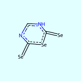 [Se]=c1nc[nH]c(=[Se])[se]1